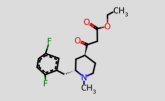 CCOC(=O)CC(=O)[C@H]1CCN(C)[C@H](Cc2cc(F)ccc2F)C1